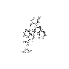 CCN(CC)CCNc1ccc(-c2cc(-c3cc(Cl)ccc3F)nc3ncccc23)c2ccncc12